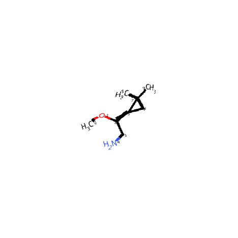 CO/C(CN)=C1/CC1(C)C